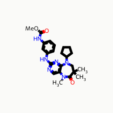 COC(=O)Nc1cccc(Nc2ncc3c(n2)N(C2CCCC2)CC(C)(C)C(=O)N3C)c1